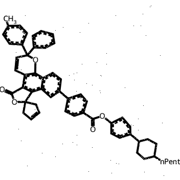 CCCCCC1CCC(c2ccc(OC(=O)c3ccc(-c4ccc5c6c(c7c(c5c4)C4(CC=CC4)OC7=O)C=CC(c4ccccc4)(c4ccc(C)cc4)O6)cc3)cc2)CC1